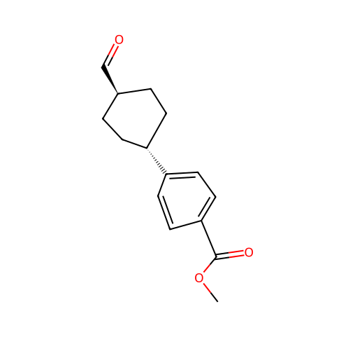 COC(=O)c1ccc([C@H]2CC[C@H](C=O)CC2)cc1